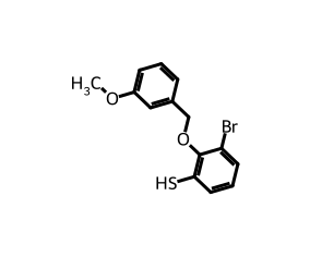 COc1cccc(COc2c(S)cccc2Br)c1